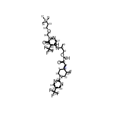 CC(CONC(=O)/C=C1\CCN(c2ncc(C(F)(F)F)cn2)CC1F)Nc1cnn(COCC[Si](C)(C)C)c(=O)c1C(F)(F)F